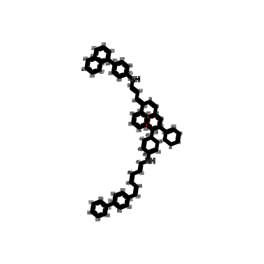 C1=CCCC(c2cc(\C=C/C(=C\C=C\Nc3ccc(-c4cccc5ccccc45)cc3)c3ccccc3)ccc2C2C=CC(N/C=C/C=C\C=C/c3ccc(-c4ccccc4)cc3)=CC2)=C1